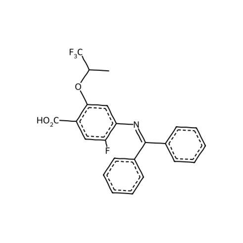 CC(Oc1cc(N=C(c2ccccc2)c2ccccc2)c(F)cc1C(=O)O)C(F)(F)F